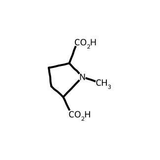 CN1C(C(=O)O)CCC1C(=O)O